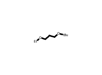 CCOCCCOC(C)(C)C